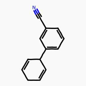 N#Cc1cccc(C2C=CCC=C2)c1